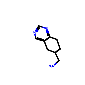 NCC1CCc2ncncc2C1